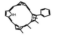 CC1=Cc2cc3ccc(cc4nc(cc5c(-c6ccccc6)c(C)c(c(C)c1n2)n5C)C=C4)[nH]3